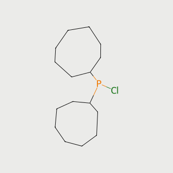 ClP(C1CCCCCCC1)C1CCCCCCC1